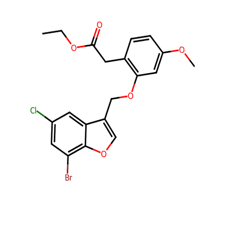 CCOC(=O)Cc1ccc(OC)cc1OCc1coc2c(Br)cc(Cl)cc12